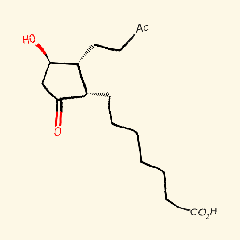 CC(=O)CC[C@H]1[C@H](O)CC(=O)[C@H]1CCCCCCC(=O)O